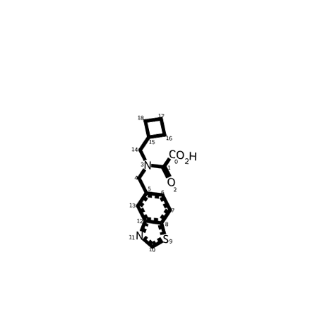 O=C(O)C(=O)N(Cc1ccc2scnc2c1)CC1CCC1